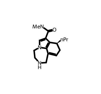 CCC[C@H]1CC=C2CNCCn3cc(C(=O)NC)c1c32